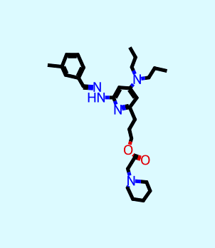 CCCN(CCC)c1cc(CCCOC(=O)CN2CCCCC2)nc(N/N=C/c2cccc(C)c2)c1